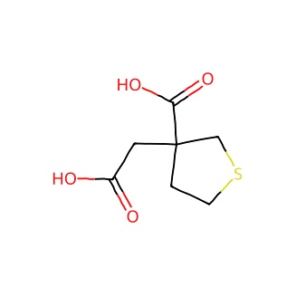 O=C(O)CC1(C(=O)O)CCSC1